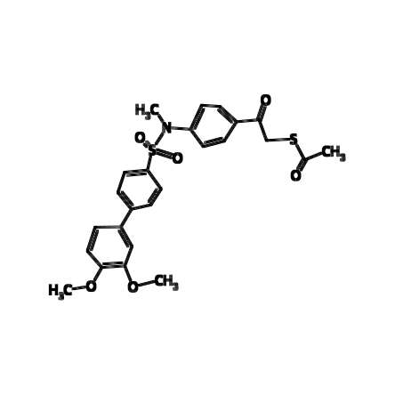 COc1ccc(-c2ccc(S(=O)(=O)N(C)c3ccc(C(=O)CSC(C)=O)cc3)cc2)cc1OC